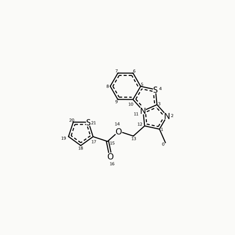 Cc1nc2sc3ccccc3n2c1COC(=O)c1cccs1